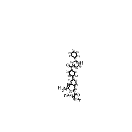 CCCN(CCC)C(=O)C1=Cc2ccc(-c3ccc(C(=O)N4CCNC(c5ccccc5)C4)cc3)cc2N=C(N)C1